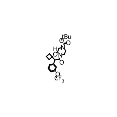 CC(C)(C)OC(=O)N1CCN(C(=O)C(c2cccc(OC(F)(F)F)c2)C2(O)CCC2)CC1